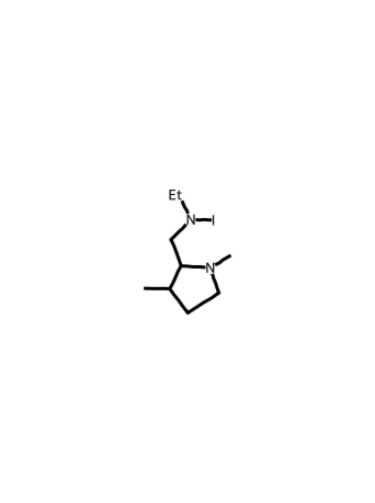 CCN(I)CC1C(C)CCN1C